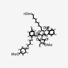 CCCCCCCCCCCCCCCCCCN1C(C(C(=O)Nc2cc(C)ccc2SCCCOC2CCC(OC)CC2)N2C(=O)C(OC)N(C)C2=O)=Nc2ccccc2S1(=O)=O